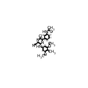 COc1cc(Nc2nc(-c3cccc(NC(C)=O)c3)c(Cl)nc2C#N)cc(OC)c1C